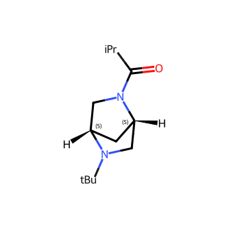 CC(C)C(=O)N1C[C@@H]2C[C@H]1CN2C(C)(C)C